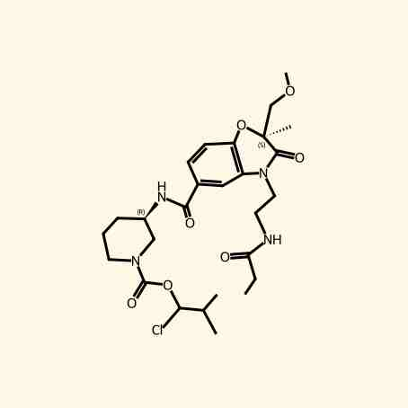 CCC(=O)NCCN1C(=O)[C@](C)(COC)Oc2ccc(C(=O)N[C@@H]3CCCN(C(=O)OC(Cl)C(C)C)C3)cc21